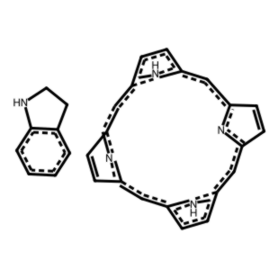 C1=Cc2cc3ccc(cc4nc(cc5ccc(cc1n2)[nH]5)C=C4)[nH]3.c1ccc2c(c1)CCN2